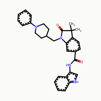 CC1(C)C(=O)N(CC2CCN(c3ccccc3)CC2)c2cc(C(=O)Nc3c[nH]c4ccccc34)ccc21